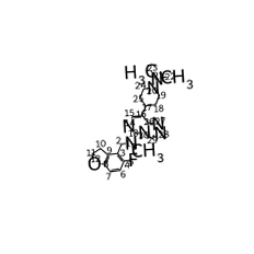 CN(Cc1c(F)ccc2c1CCO2)c1ncc(C2CCN(N(C)C)CC2)c2nncn12